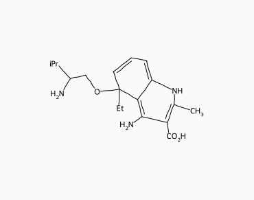 CCC1(OCC(N)C(C)C)C=CC=C2NC(C)=C(C(=O)O)C(N)=C21